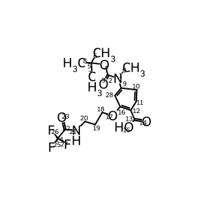 CN(C(=O)OC(C)(C)C)c1ccc(C(=O)O)c(OCCCNC(=O)C(F)(F)F)c1